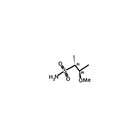 CO[C@H](C)[C@@H](C)S(N)(=O)=O